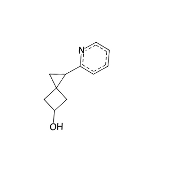 OC1CC2(C1)CC2c1ccccn1